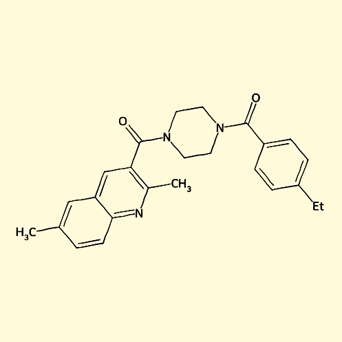 CCc1ccc(C(=O)N2CCN(C(=O)c3cc4cc(C)ccc4nc3C)CC2)cc1